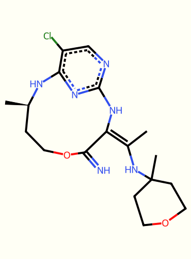 C/C(NC1(C)CCOCC1)=C1\Nc2ncc(Cl)c(n2)N[C@H](C)CCOC1=N